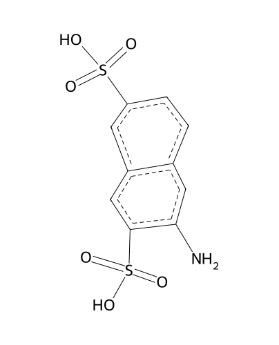 Nc1cc2ccc(S(=O)(=O)O)cc2cc1S(=O)(=O)O